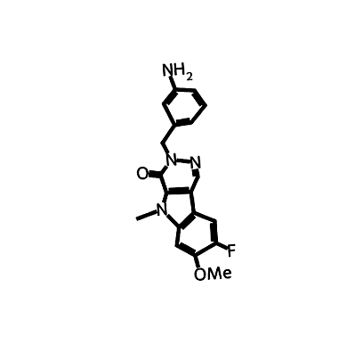 COc1cc2c(cc1F)c1cnn(Cc3cccc(N)c3)c(=O)c1n2C